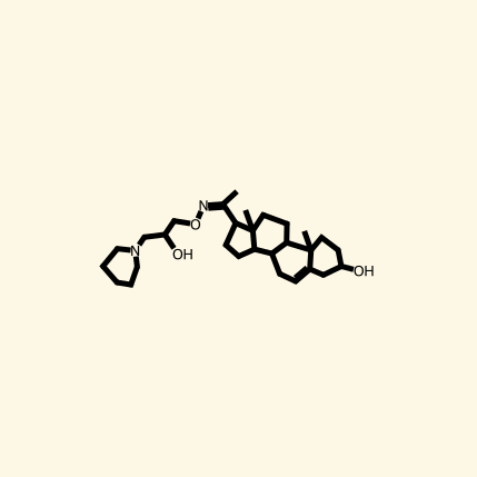 C/C(=N/OCC(O)CN1CCCCC1)C1CCC2C3CC=C4CC(O)CCC4(C)C3CCC12C